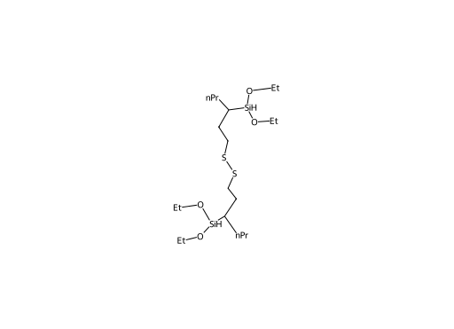 CCCC(CCSSCCC(CCC)[SiH](OCC)OCC)[SiH](OCC)OCC